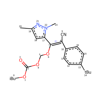 CCC(C)OC(=O)OCO/C(=C(/C#N)c1ccc(C(C)(C)C)cc1)c1cc(C)nn1C